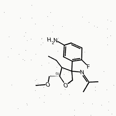 CCC1[C@@H](COC)OCC1(N=C(C)C)c1cc(N)ccc1F